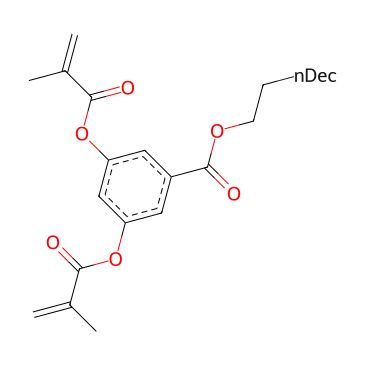 C=C(C)C(=O)Oc1cc(OC(=O)C(=C)C)cc(C(=O)OCCCCCCCCCCCC)c1